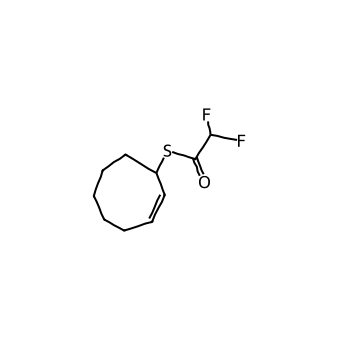 O=C(SC1/C=C\CCCCC1)C(F)F